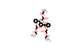 C=CC(=O)OCC(O)COc1ccccc1C(CC)c1cccc(C(C)(CCC)c2ccccc2OCC(O)COC(=O)C=C)c1OCC(O)COC(=O)C=C